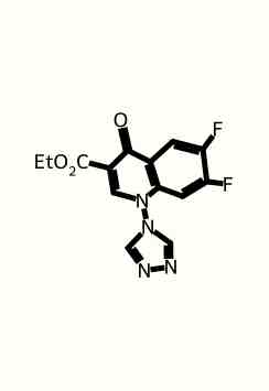 CCOC(=O)c1cn(-n2cnnc2)c2cc(F)c(F)cc2c1=O